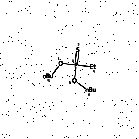 CCCCOP(=S)(CC)OCCCC